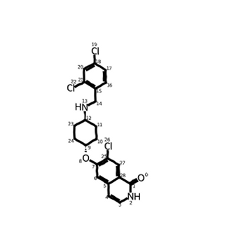 O=c1[nH]ccc2cc(O[C@H]3CC[C@H](NCc4ccc(Cl)cc4Cl)CC3)c(Cl)cc12